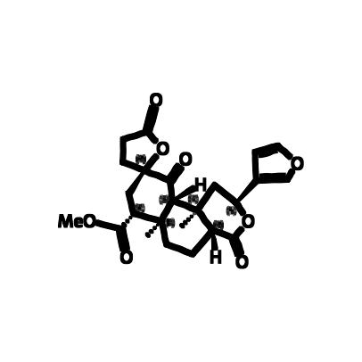 COC(=O)[C@@H]1C[C@]2(CCC(=O)O2)C(=O)[C@H]2[C@@]1(C)CC[C@H]1C(=O)O[C@H](c3ccoc3)C[C@]21C